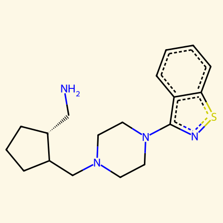 NC[C@H]1CCCC1CN1CCN(c2nsc3ccccc23)CC1